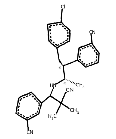 C[C@H](NC(c1cccc(C#N)c1)C(C)(C)C#N)[C@@H](Cc1ccc(Cl)cc1)c1cccc(C#N)c1